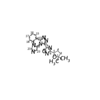 CC1(C)CCC(c2noc(-c3nnc4c5ccccc5n5cncc5n34)n2)O1